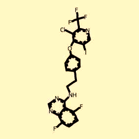 Fc1ccc(F)c2c(NCCc3ccc(Oc4c(I)cnc(C(F)(F)F)c4Cl)cc3)ncnc12